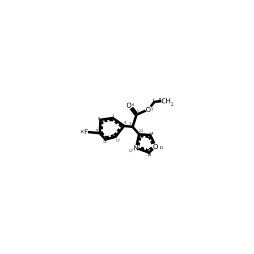 CCOC(=O)C(c1ccc(F)cc1)c1cocn1